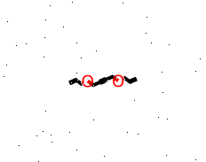 C=CCOCC#CCOCC=C